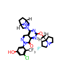 [2H]C([2H])(Oc1nc(N2C[C@H]3CC[C@@H](C2)N3)c2cnn(-c3cc(O)cc(Cl)c3C(F)(F)F)c(=O)c2n1)[C@@]12CCCN1C[C@H](F)C2